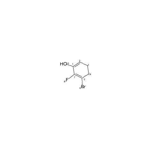 OC1=CC[CH]C(Br)=C1F